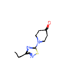 CCc1nsc(N2CCC(=O)CC2)n1